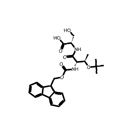 C[C@@H](OC(C)(C)C)[C@H](NC(=O)OCC1c2ccccc2-c2ccccc21)C(=O)N[C@@H](CO)C(=O)O